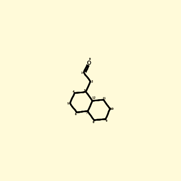 O=CCC1CCCC2CCCCC12